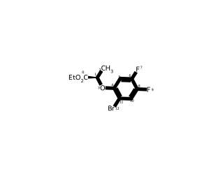 CCOC(=O)[C@@H](C)Oc1cc(F)c(F)cc1Br